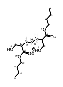 CCCCOC(=O)C(CO)N[PH](=O)NC(CO)C(=O)OCCCC